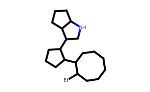 CCC1CCCCCCC1C1CCCC1C1CNC2CCCC21